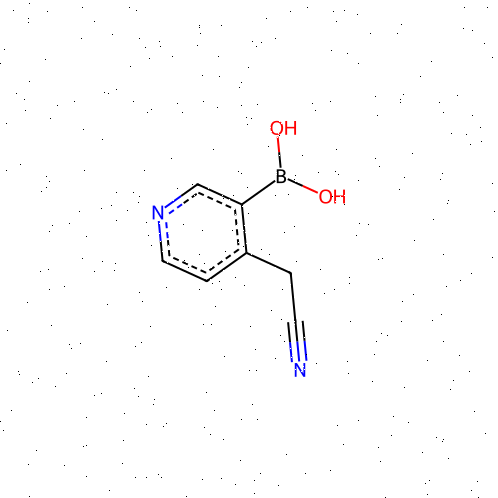 N#CCc1ccncc1B(O)O